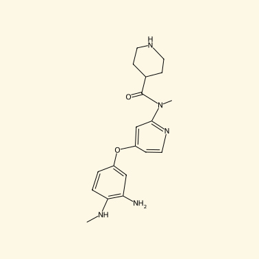 CNc1ccc(Oc2ccnc(N(C)C(=O)C3CCNCC3)c2)cc1N